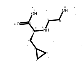 O=C(O)[C@H](CC1CC1)NCCO